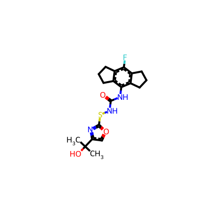 CC(C)(O)c1coc(SNC(=O)Nc2c3c(c(F)c4c2CCC4)CCC3)n1